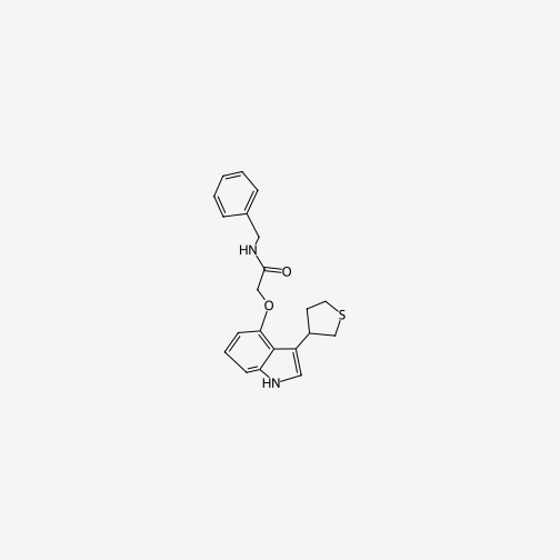 O=C(COc1cccc2[nH]cc(C3CCSC3)c12)NCc1ccccc1